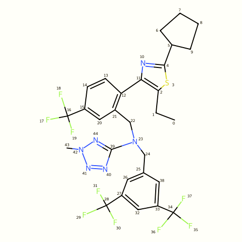 CCc1sc(C2CCCC2)nc1-c1ccc(C(F)(F)F)cc1CN(Cc1cc(C(F)(F)F)cc(C(F)(F)F)c1)c1nnn(C)n1